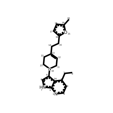 CCc1ccnc2[nH]cc(N3CC=C(CCc4ccc(C)o4)CC3)c12